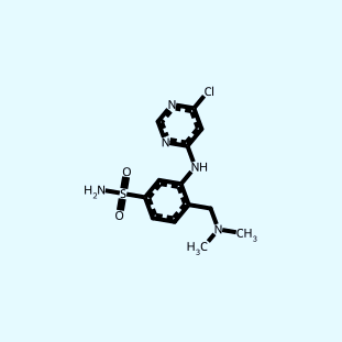 CN(C)Cc1ccc(S(N)(=O)=O)cc1Nc1cc(Cl)ncn1